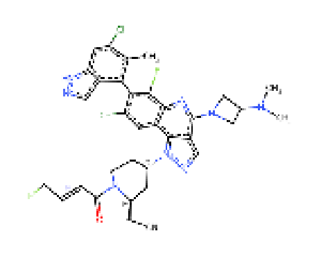 Cc1c(Cl)cc2[nH]ncc2c1-c1c(Cl)cc2c(nc(N3CC(N(C)C)C3)c3cnn([C@H]4CCN(C(=O)/C=C/CF)[C@H](CC#N)C4)c32)c1F